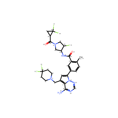 Cc1ccc(-c2cc(CN3CCC(F)(F)CC3)c3c(N)ncnn23)cc1C(=O)NC1CN(C(=O)C2CC2(F)F)CC1F